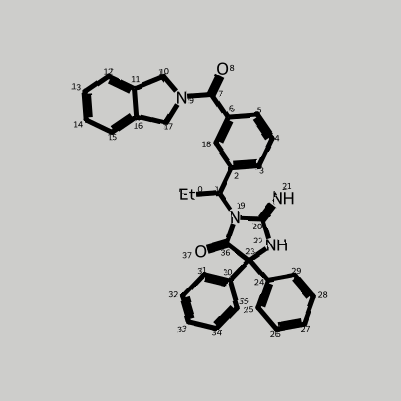 CCC(c1cccc(C(=O)N2Cc3ccccc3C2)c1)N1C(=N)NC(c2ccccc2)(c2ccccc2)C1=O